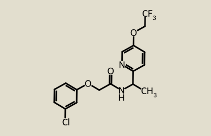 CC(NC(=O)COc1cccc(Cl)c1)c1ccc(OCC(F)(F)F)cn1